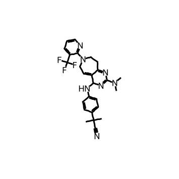 CN(C)C1=NC(Nc2ccc(C(C)(C)C#N)cc2)C2=CCN(c3ncccc3C(F)(F)F)CCC2=N1